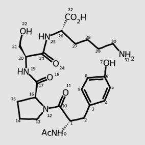 CC(=O)N[C@@H](Cc1ccc(O)cc1)C(=O)N1CCC[C@H]1C(=O)N[C@@H](CO)C(=O)N[C@@H](CCCCN)C(=O)O